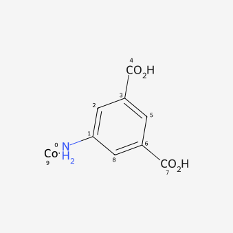 Nc1cc(C(=O)O)cc(C(=O)O)c1.[Co]